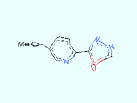 COc1ccc(-c2nnco2)nc1